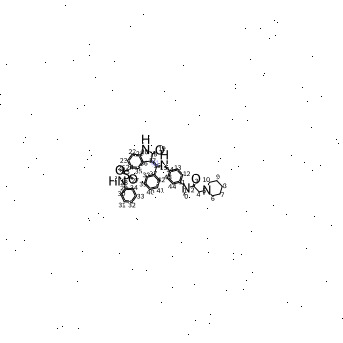 CN(C(=O)CN1CCCCC1)c1ccc(N/C(=C2\C(=O)Nc3ccc(S(=O)(=O)Nc4ccccc4)cc32)c2ccccc2)cc1